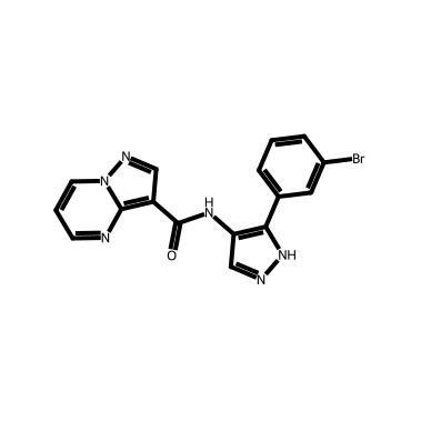 O=C(Nc1cn[nH]c1-c1cccc(Br)c1)c1cnn2cccnc12